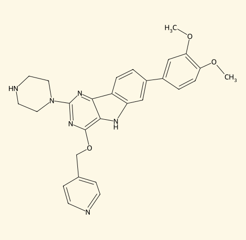 COc1ccc(-c2ccc3c(c2)[nH]c2c(OCc4ccncc4)nc(N4CCNCC4)nc23)cc1OC